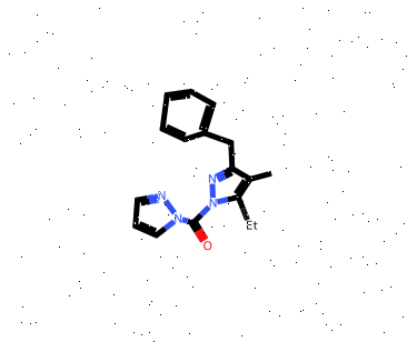 CCc1c(C)c(Cc2ccccc2)nn1C(=O)n1cccn1